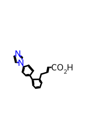 O=C(O)C=CCc1ccccc1-c1ccc(-n2ccnc2)cc1